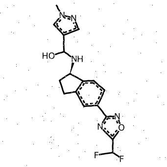 Cn1cc(C(O)N[C@@H]2CCc3cc(-c4noc(C(F)F)n4)ccc32)cn1